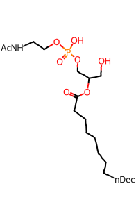 CCCCCCCCCCCCCCCCCC(=O)OC(CO)COP(=O)(O)OCCNC(C)=O